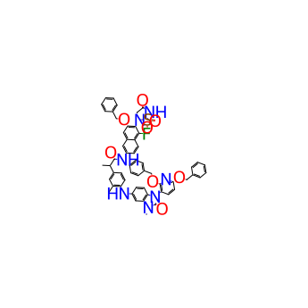 Cc1cc(C(C)C(=O)Nc2ccc3c(F)c(N4CC(=O)NS4(=O)=O)c(OCc4ccccc4)cc3c2)ccc1Nc1ccc2c(c1)n(C)c(=O)n2-c1ccc(OCc2ccccc2)nc1OCc1ccccc1